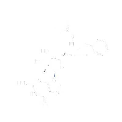 COC(=O)[C@H](C)NP(=O)(OC[C@H]1O[C@@H](n2cnc3c(=O)[nH]c(N)nc32)[C@](C)(O)[C@@H]1O)Oc1ccccc1